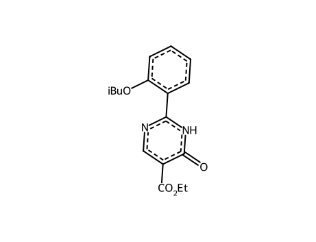 CCOC(=O)c1cnc(-c2ccccc2OCC(C)C)[nH]c1=O